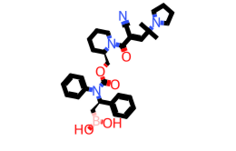 CC(C)(C=C(C#N)C(=O)N1CCCC[C@@H]1COC(=O)N(c1ccccc1)[C@H](CB(O)O)c1ccccc1)N1CCCC1